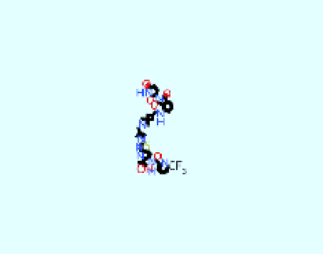 CC(C)(O)c1nc2nc(N3CC(CN4CC5(CC(CNc6cccc7c6C(=O)N(C6CCC(=O)NC6=O)C7=O)C5)C4)C3)sc2cc1NC(=O)c1cccc(C(F)(F)F)n1